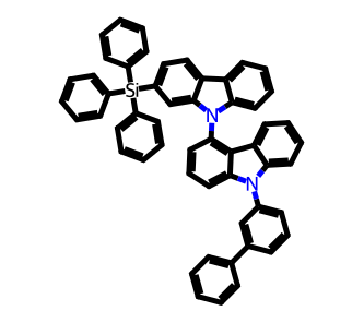 c1ccc(-c2cccc(-n3c4ccccc4c4c(-n5c6ccccc6c6ccc([Si](c7ccccc7)(c7ccccc7)c7ccccc7)cc65)cccc43)c2)cc1